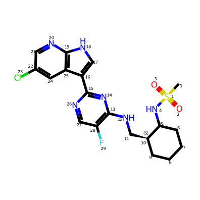 CS(=O)(=O)NC1CCCC[C@H]1CNc1nc(-c2c[nH]c3ncc(Cl)cc23)ncc1F